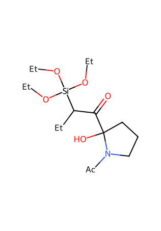 CCO[Si](OCC)(OCC)C(CC)C(=O)C1(O)CCCN1C(C)=O